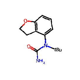 CC(C)(C)N(C(N)=O)c1cccc2c1CCO2